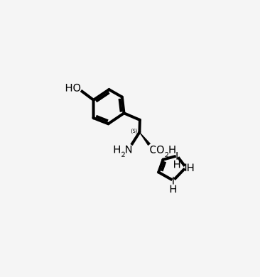 C1=C[IH][IH][IH]1.N[C@@H](Cc1ccc(O)cc1)C(=O)O